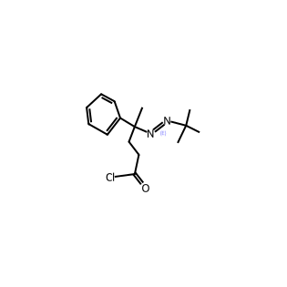 CC(C)(C)/N=N/C(C)(CCC(=O)Cl)c1ccccc1